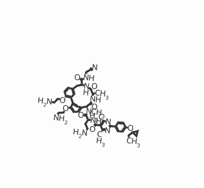 CCC1(Oc2ccc(-c3nc(C)c(C(=O)NC(CCN)C(=O)N(C)C4C(=O)NC(C)C(=O)NC(C(=O)NCC#N)Cc5ccc(OCCN)c(c5)-c5cc4ccc5OCCN)c(C)n3)cc2)CC1